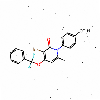 Cc1cc(OC(F)(F)c2ccccc2)c(Br)c(=O)n1-c1ccc(C(=O)O)cc1